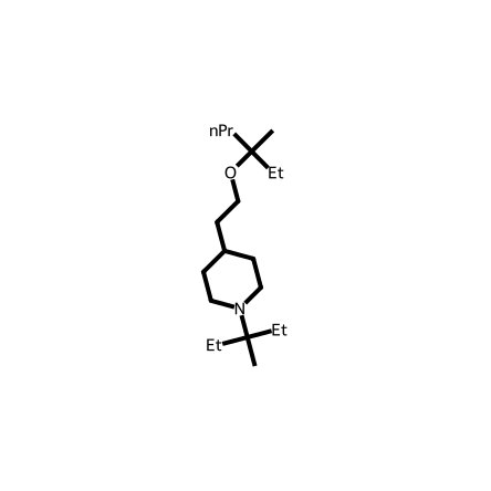 CCCC(C)(CC)OCCC1CCN(C(C)(CC)CC)CC1